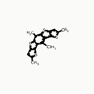 Cc1cc2sc3c(C)c4sc5cc(C)sc5c4c(C)c3c2s1